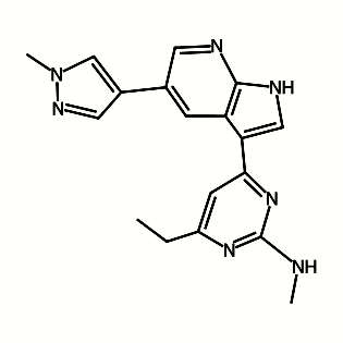 CCc1cc(-c2c[nH]c3ncc(-c4cnn(C)c4)cc23)nc(NC)n1